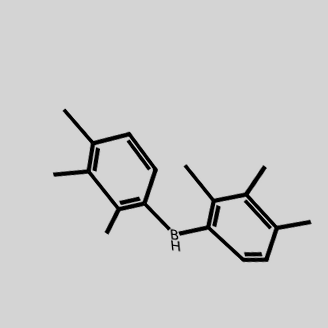 Cc1ccc(Bc2ccc(C)c(C)c2C)c(C)c1C